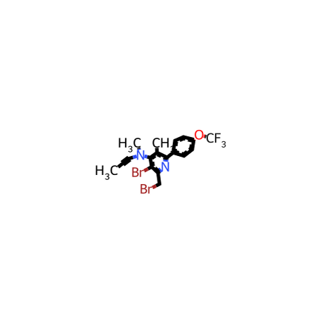 CC#CN(C)c1c(C)c(-c2ccc(OC(F)(F)F)cc2)nc(CBr)c1Br